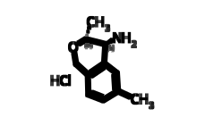 Cc1ccc2c(c1)[C@H](N)[C@@H](C)OC2.Cl